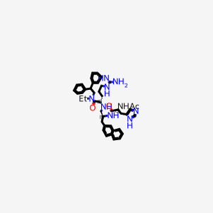 CCN(CC(c1ccccc1)c1ccccc1)C(=O)[C@H](CCCNC(=N)N)NC[C@H](Cc1ccc2ccccc2c1)NC(=O)[C@H](Cc1cnc[nH]1)NC(C)=O